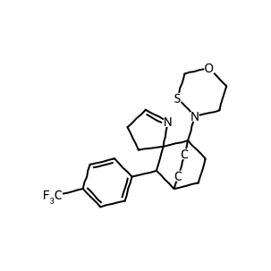 FC(F)(F)c1ccc(C2C3CCC(N4CCOCS4)(CC3)C23CCC=N3)cc1